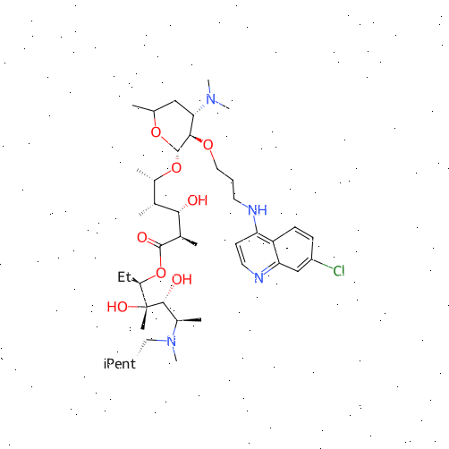 CCC[C@@H](C)CN(C)[C@H](C)[C@@H](O)[C@](C)(O)[C@@H](CC)OC(=O)[C@H](C)[C@@H](O)[C@H](C)[C@H](C)O[C@@H]1OC(C)C[C@H](N(C)C)[C@H]1OCCCNc1ccnc2cc(Cl)ccc12